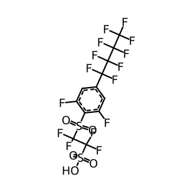 O=S(=O)(O)C(F)(F)C(F)(F)S(=O)(=O)c1c(F)cc(C(F)(F)C(F)(F)C(F)(F)C(F)(F)F)cc1F